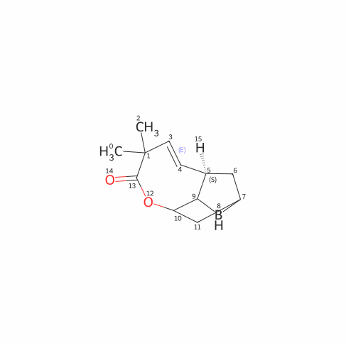 CC1(C)/C=C/[C@H]2CC3BC2C(C3)OC1=O